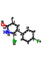 Cc1cc(-c2ccc(F)cc2)c(Br)[nH]c1=O